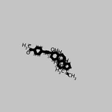 CC[C@H]1CC[C@H]2[C@@H]3CC[C@H]4C[C@@](O)(C#Cc5ccc(C(C)=O)cc5)CC[C@]4(C)[C@H]3CC[C@]12C